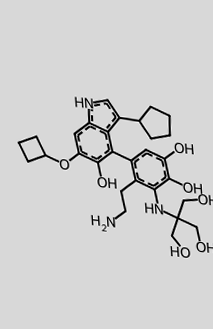 NCCc1c(-c2c(O)c(OC3CCC3)cc3[nH]cc(C4CCCC4)c23)cc(O)c(O)c1NC(CO)(CO)CO